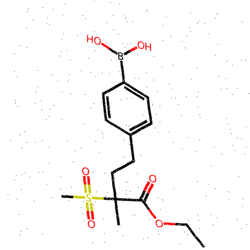 CCOC(=O)C(C)(CCc1ccc(B(O)O)cc1)S(C)(=O)=O